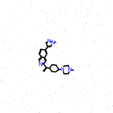 C=C(c1cc2cc(-c3cnn(C)c3)ccc2cn1)C1CCC(N2CCN(C)CC2)CC1